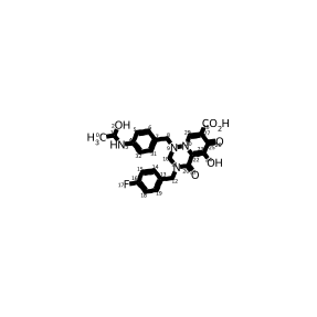 CC(O)Nc1ccc(CN2CN(Cc3ccc(F)cc3)C(=O)c3c(O)c(=O)c(C(=O)O)cn32)cc1